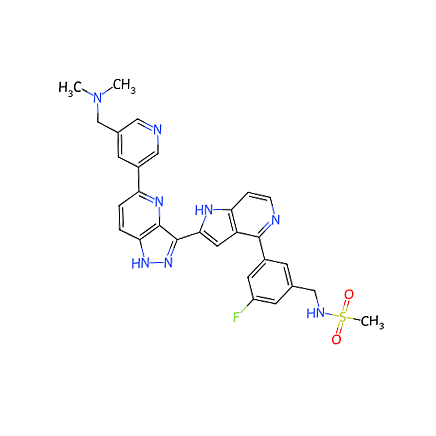 CN(C)Cc1cncc(-c2ccc3[nH]nc(-c4cc5c(-c6cc(F)cc(CNS(C)(=O)=O)c6)nccc5[nH]4)c3n2)c1